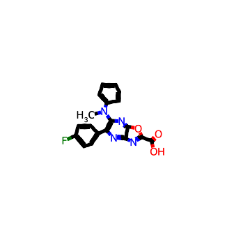 CN(c1ccccc1)c1nc2oc(C(=O)O)nc2nc1-c1ccc(F)cc1